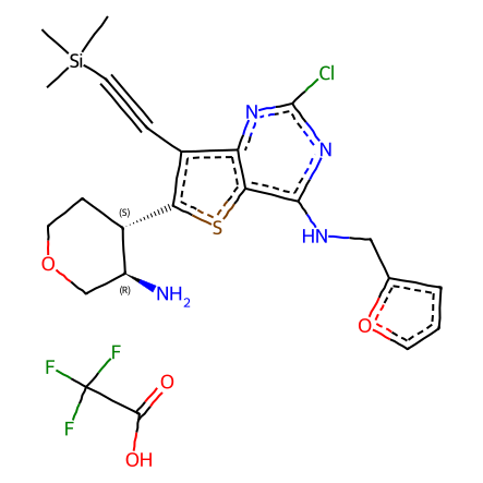 C[Si](C)(C)C#Cc1c([C@H]2CCOC[C@@H]2N)sc2c(NCc3ccco3)nc(Cl)nc12.O=C(O)C(F)(F)F